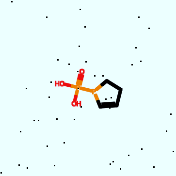 O=P(O)(O)P1C=CCC1